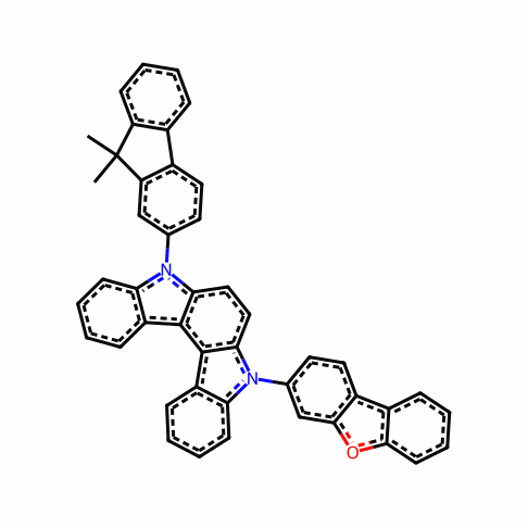 CC1(C)c2ccccc2-c2ccc(-n3c4ccccc4c4c5c6ccccc6n(-c6ccc7c(c6)oc6ccccc67)c5ccc43)cc21